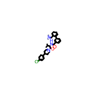 CC(C)[C@@H](NC(=O)c1cccc(-c2ccccc2CN(C)C)c1)C(=O)N1CCC(c2ccc(Cl)cc2)CC1